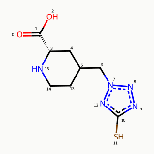 O=C(O)[C@@H]1CC(Cn2nnc(S)n2)CCN1